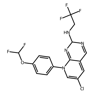 FC(F)Oc1ccc(N2C=C(Cl)C=C3C=NC(NCC(F)(F)F)N=C32)cc1